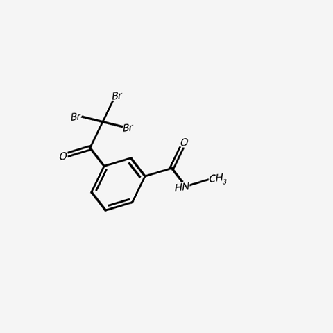 CNC(=O)c1cccc(C(=O)C(Br)(Br)Br)c1